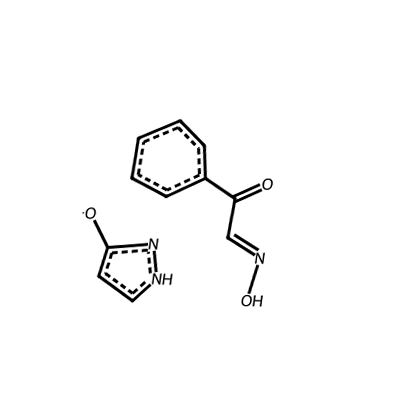 O=C(C=NO)c1ccccc1.[O]c1cc[nH]n1